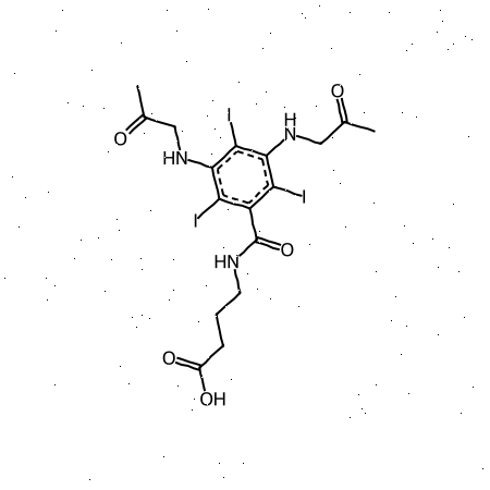 CC(=O)CNc1c(I)c(NCC(C)=O)c(I)c(C(=O)NCCCC(=O)O)c1I